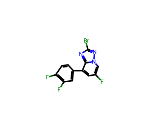 Fc1cc(-c2ccc(F)c(F)c2)c2nc(Br)nn2c1